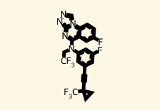 Fc1cc(C#CC2(C(F)(F)F)CC2)cc(N(CC(F)(F)F)c2nc3nncn3c3ccc(F)cc23)c1